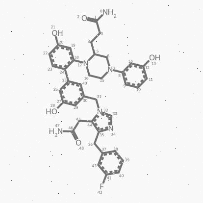 NC(=O)CCC1CN(c2cccc(O)c2)CCN1c1cc(O)ccc1-c1cc(O)cc(Cn2cnc(Cc3cccc(F)c3)c2CC(N)=O)c1